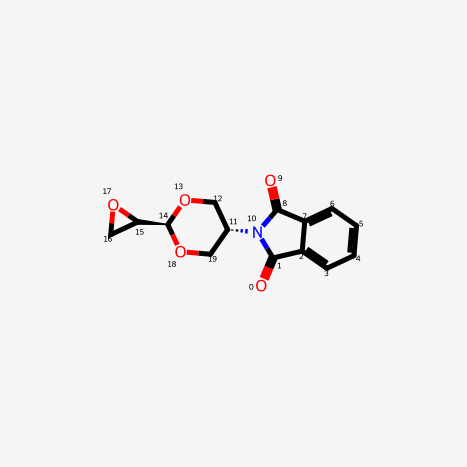 O=C1c2ccccc2C(=O)N1[C@H]1CO[C@H](C2CO2)OC1